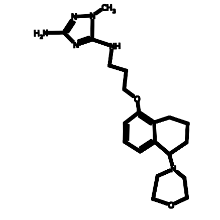 Cn1nc(N)nc1NCCCOc1cccc2c1CCCC2N1CCOCC1